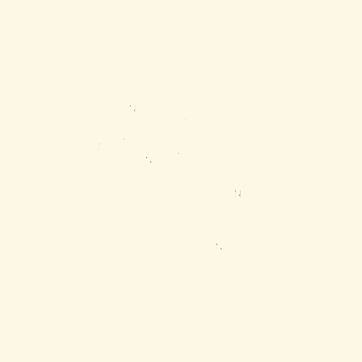 Cn1cc(-c2ccnc(Cl)n2)c2cccnc21